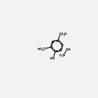 O=C(O)c1cc(S(=O)(=O)O)ccc1O.O=[N+]([O-])O